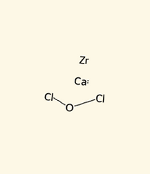 ClOCl.[Ca].[Zr]